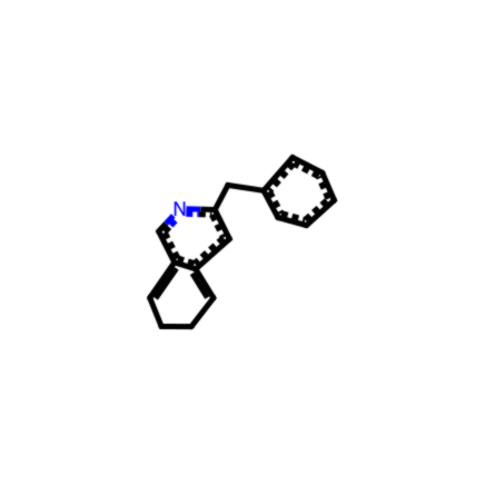 C1=c2cnc(Cc3ccccc3)cc2=CCC1